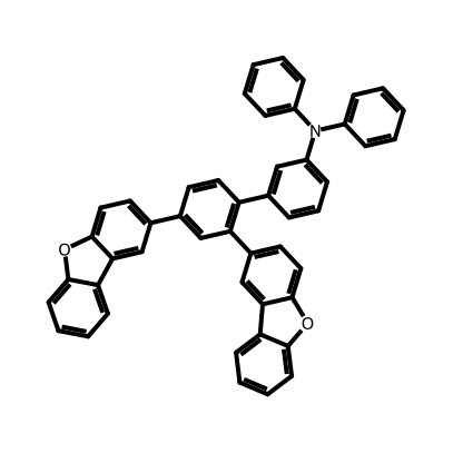 c1ccc(N(c2ccccc2)c2cccc(-c3ccc(-c4ccc5oc6ccccc6c5c4)cc3-c3ccc4oc5ccccc5c4c3)c2)cc1